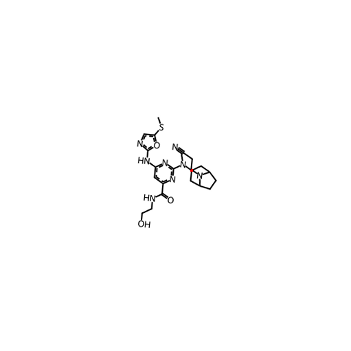 CSc1cnc(Nc2cc(C(=O)NCCO)nc(N(C)C3CC4CCC(C3)N4CCC#N)n2)o1